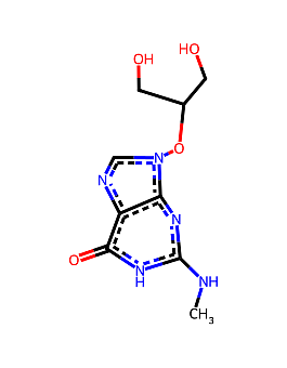 CNc1nc2c(ncn2OC(CO)CO)c(=O)[nH]1